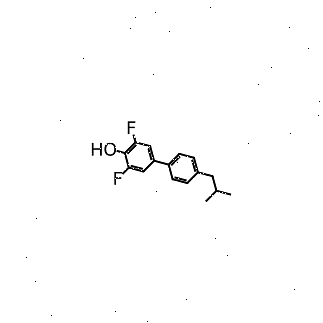 CC(C)Cc1ccc(-c2cc(F)c(O)c(F)c2)cc1